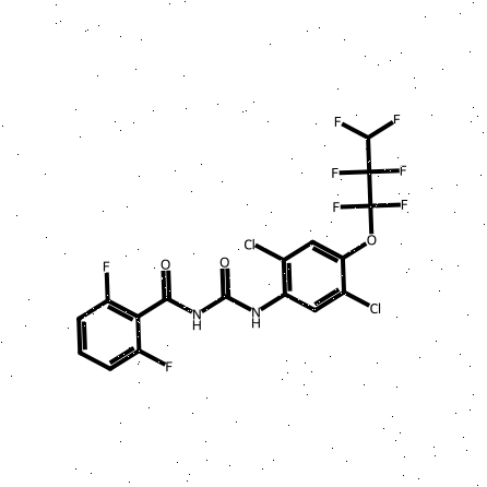 O=C(NC(=O)c1c(F)cccc1F)Nc1cc(Cl)c(OC(F)(F)C(F)(F)C(F)F)cc1Cl